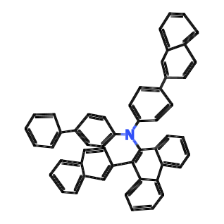 c1ccc(-c2ccc(N(c3ccc(-c4ccc5ccccc5c4)cc3)c3c(-c4ccc5ccccc5c4)c4ccccc4c4ccccc34)cc2)cc1